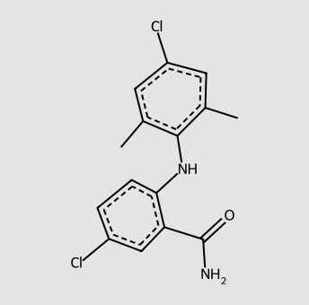 Cc1cc(Cl)cc(C)c1Nc1ccc(Cl)cc1C(N)=O